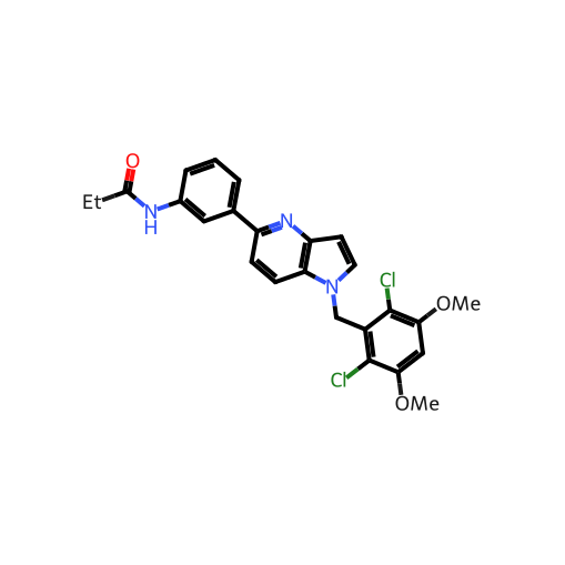 CCC(=O)Nc1cccc(-c2ccc3c(ccn3Cc3c(Cl)c(OC)cc(OC)c3Cl)n2)c1